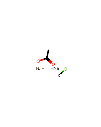 CC(=O)O.[Cl][K].[NaH].[NaH]